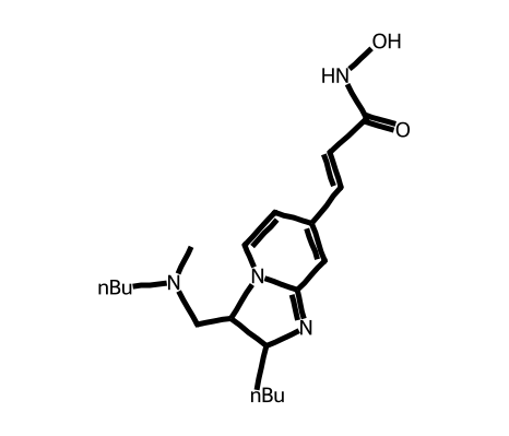 CCCCC1N=C2C=C(/C=C/C(=O)NO)C=CN2C1CN(C)CCCC